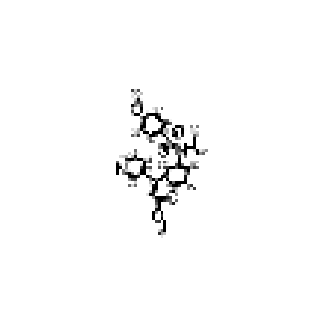 CCOC(=O)C=C(c1cccnc1)c1cccc(N(C(C)C)S(=O)(=O)c2ccc(OC)cc2)c1